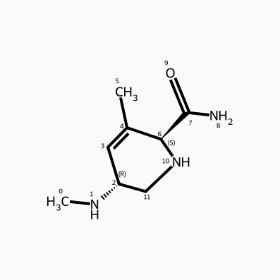 CN[C@@H]1C=C(C)[C@@H](C(N)=O)NC1